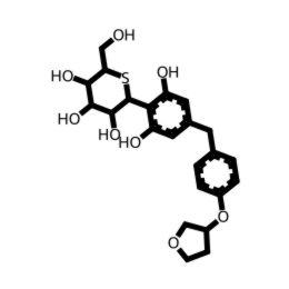 OCC1SC(c2c(O)cc(Cc3ccc(OC4CCOC4)cc3)cc2O)C(O)C(O)C1O